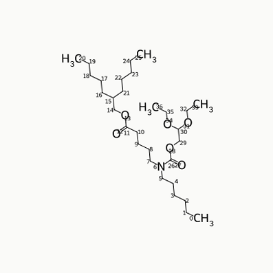 CCCCCCN(CCCCC(=O)OCC(CCCCC)CCCCC)C(=O)OCC(OCC)OCC